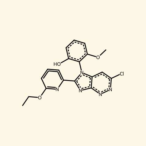 CCOC1=NC(c2nc3nnc(Cl)cc3n2-c2c(O)cccc2OC)=C=C=C1